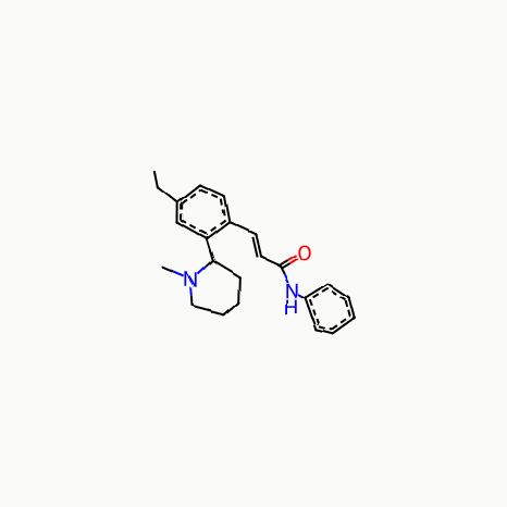 CCc1ccc(C=CC(=O)Nc2ccccc2)c(C2CCCCN2C)c1